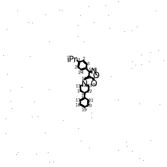 CC(C)c1ccc(C2=NOC(=O)/C2=C\N2CCC(c3ccccc3)CC2)cc1